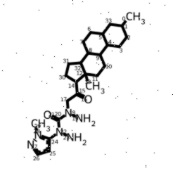 CC1CCC2C(CCC3C2CCC2(C)C(C(=O)CN(N)C(=O)N(N)c4ccnn4C)CCC32)C1